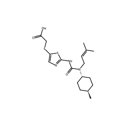 CC(C)=CCN(C(=O)Nc1ncc(SCC(=O)O)s1)[C@H]1CC[C@H](C)CC1